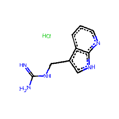 Cl.N=C(N)NCc1c[nH]c2ncccc12